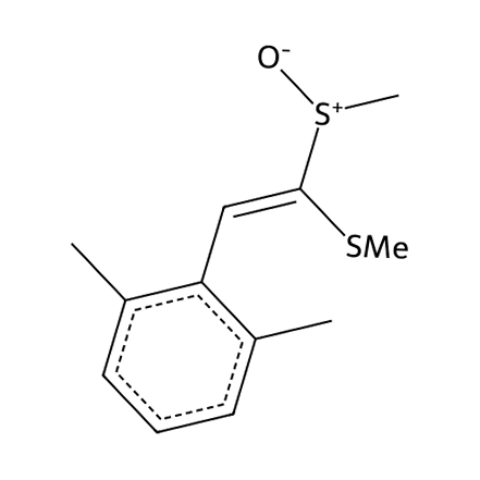 CSC(=Cc1c(C)cccc1C)[S+](C)[O-]